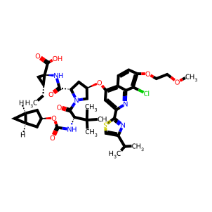 CC[C@@H]1C[C@]1(NC(=O)[C@@H]1C[C@@H](Oc2cc(-c3nc(C(C)C)cs3)nc3c(Cl)c(OCCOC)ccc23)CN1C(=O)[C@@H](NC(=O)O[C@@H]1C[C@@H]2C[C@@H]2C1)C(C)(C)C)C(=O)O